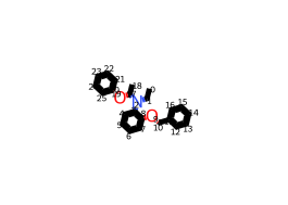 CCN(c1ccccc1OCc1ccccc1)C(C)Oc1ccccc1